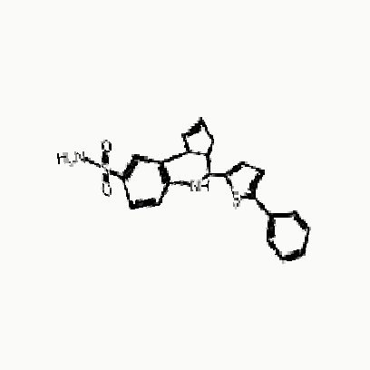 NS(=O)(=O)c1ccc2c(c1)C1C=CCC1C(c1ccc(-c3ccccc3)s1)N2